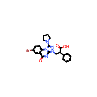 O=C(O)C(Cn1nc(N2CCCC2)n2c3ccc(Br)cc3c(=O)nc12)c1ccccc1